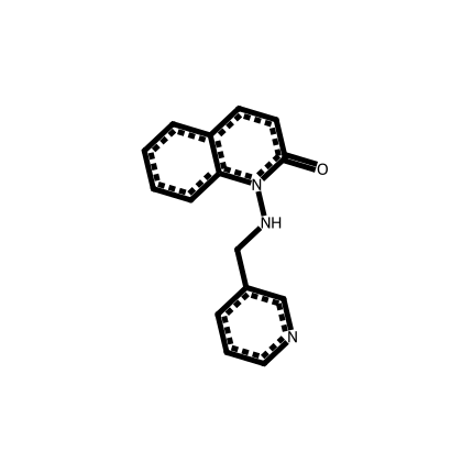 O=c1ccc2ccccc2n1NCc1cccnc1